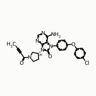 CC#CC(=O)N1CC[C@@H](n2c(=O)n(-c3ccc(Oc4ccc(Cl)cc4)cc3)c3c(N)ncnc32)C1